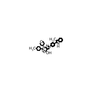 Cc1c(-c2ccc(-n3cc(C(=O)O)c(N(C(=O)C4CCC(C)CC4)C4CCOCC4)n3)cc2)[nH]c2ccccc12